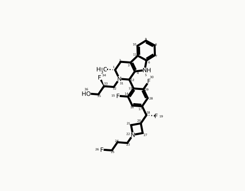 C[C@@H]1Cc2c([nH]c3ccccc23)C(c2c(F)cc([C@H](F)C3CN(CCCF)C3)cc2F)N1C[C@H](F)CO